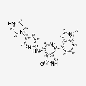 Cn1ccc2c(-c3ncc(Nc4ccc(N5CCNCC5)cn4)c4c3CNC4=O)cccc21